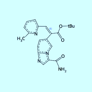 Cc1cccc(/C=C(/C(=O)OC(C)(C)C)c2ccc3ncc(C(N)=O)n3c2)n1